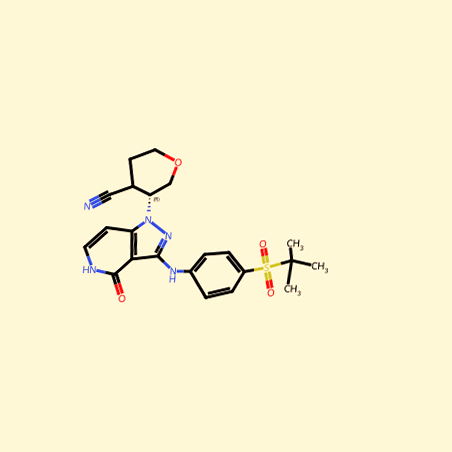 CC(C)(C)S(=O)(=O)c1ccc(Nc2nn([C@H]3COCCC3C#N)c3cc[nH]c(=O)c23)cc1